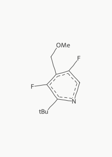 COCc1c(F)cnc(C(C)(C)C)c1F